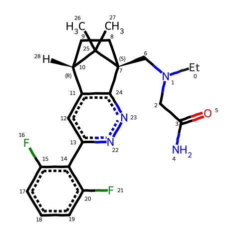 CCN(CC(N)=O)C[C@@]12CC[C@@H](c3cc(-c4c(F)cccc4F)nnc31)C2(C)C